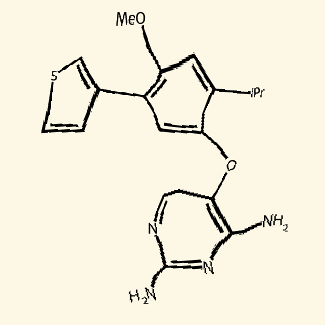 COc1cc(C(C)C)c(Oc2cnc(N)nc2N)cc1-c1ccsc1